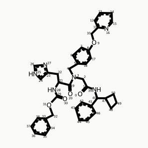 O=C(CN(Cc1ccc(OCc2ccccn2)cc1)C(=O)C(Cc1c[nH]cn1)NC(=O)OCc1ccccc1)NC(c1ccccc1)C1CCC1